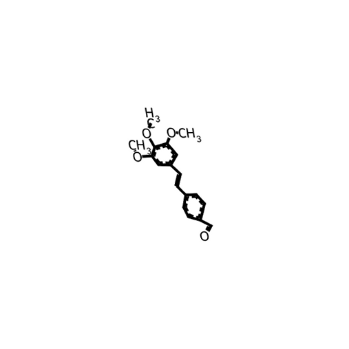 COc1cc(C=Cc2ccc(C=O)cc2)cc(OC)c1OC